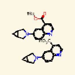 CC(C)(C)OC(=O)c1ccnc2ccc(N3CC4CC4C3)cc12.O=C(O)c1ccnc2ccc(N3CC4CC4C3)cc12